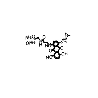 COC(CNC(=O)CCNc1ccc(NCCN(C)C)c2c1C(=O)c1c(O)ccc(O)c1C2=O)OC